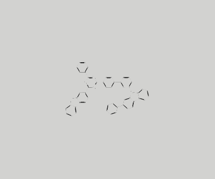 c1ccc(-c2ccc3c4ccccc4n(-c4cccc(-c5ccc(-c6nc(-c7ccccc7)nc(-c7ccc8c(c7)oc7ccccc78)n6)cc5)c4)c3c2)cc1